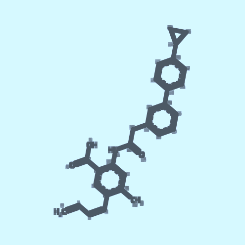 C=C/C=C\c1cc(C(=O)O)c(NC(=O)Cc2cccc(-c3ccc(C4CC4)cc3)c2)cc1C